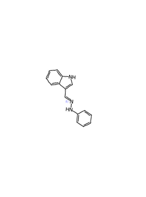 C(=N\Nc1ccccc1)/c1c[nH]c2ccccc12